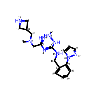 CNN/C(=N\C(=N)CN(C)CC1CNC1)NCc1ccccc1-n1cccn1